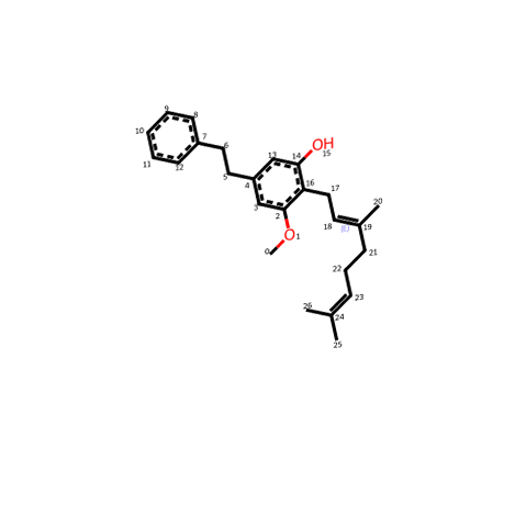 COc1cc(CCc2ccccc2)cc(O)c1C/C=C(\C)CCC=C(C)C